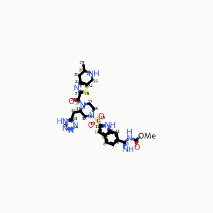 COC(=O)NC(=N)c1ccc2cc(S(=O)(=O)N3CCN(C(=O)c4nc5c(s4)CNC(C)C5)C(Cc4nnn[nH]4)C3)[nH]c2c1